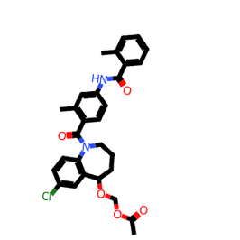 CC(=O)OCOC1CCCN(C(=O)c2ccc(NC(=O)c3ccccc3C)cc2C)c2ccc(Cl)cc21